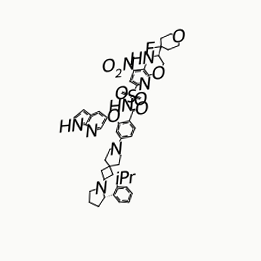 CC(C)c1ccccc1[C@@H]1CCCN1C1CC2(CCN(c3ccc(C(=O)NS(=O)(=O)c4cc([N+](=O)[O-])c5c(n4)OC[C@H](C4(F)CCOCC4)N5)c(Oc4cnc5[nH]ccc5c4)c3)CC2)C1